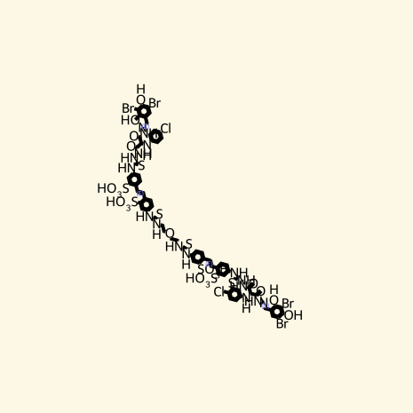 O=C(N/N=C/c1cc(Br)c(O)c(Br)c1O)C(Nc1ccc(Cl)cc1)C(=O)NNC(=S)Nc1ccc(/C=C/c2ccc(NC(=S)NCCOCCNC(=S)Nc3ccc(/C=C/c4ccc(NC(=S)NNC(=O)C(Nc5ccc(Cl)cc5)C(=O)N/N=C/c5cc(Br)c(O)c(Br)c5O)cc4S(=O)(=O)O)c(S(=O)(=O)O)c3)cc2S(=O)(=O)O)c(S(=O)(=O)O)c1